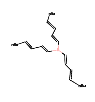 CCCCC=CC=CB(C=CC=CCCCC)C=CC=CCCCC